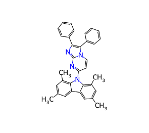 Cc1cc(C)c2c(c1)c1cc(C)cc(C)c1n2-c1ccn2c(-c3ccccc3)c(-c3ccccc3)nc2n1